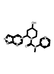 CN(C(=O)N1CCC(O)CC1n1cnc2nncc-2c1)c1cccnc1